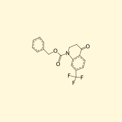 O=C1CCN(C(=O)OCc2ccccc2)c2cc(C(F)(F)F)ccc21